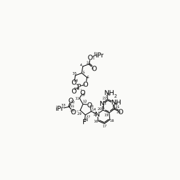 CC(C)OC(=O)CC1COP(=O)(OCC2OC(N3C=C=Cc4c3nc(N)[nH]c4=O)C(F)[C@@H]2OC(=O)C(C)C)OC1